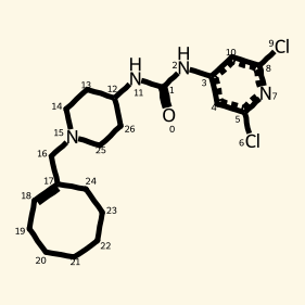 O=C(Nc1cc(Cl)nc(Cl)c1)NC1CCN(CC2=CCCCCCC2)CC1